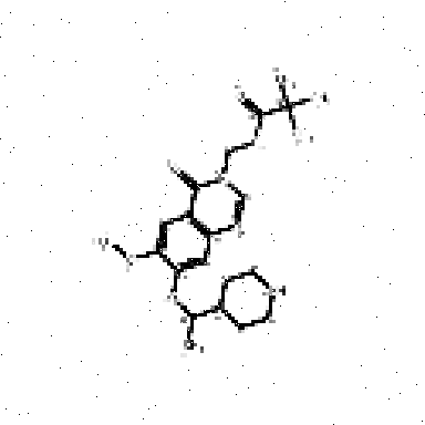 COc1cc2c(=O)n(COC(=O)C(C)(C)C)cnc2cc1OC(C)C1CCNCC1